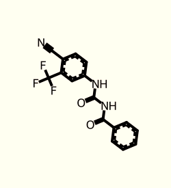 N#Cc1ccc(NC(=O)NC(=O)c2ccccc2)cc1C(F)(F)F